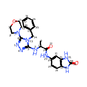 CC(Nc1nnc(N2CCOCC2)n1Cc1ccccc1)C(=O)Nc1ccc2[nH]c(=O)[nH]c2c1